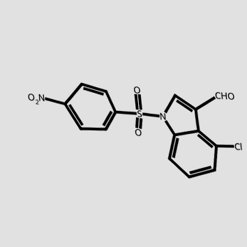 O=Cc1cn(S(=O)(=O)c2ccc([N+](=O)[O-])cc2)c2cccc(Cl)c12